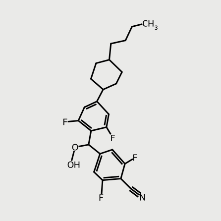 CCCCC1CCC(c2cc(F)c(C(OO)c3cc(F)c(C#N)c(F)c3)c(F)c2)CC1